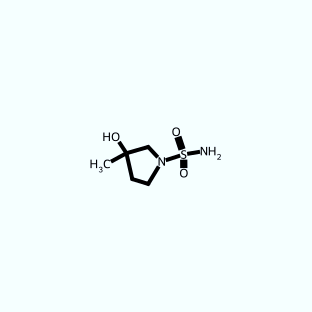 CC1(O)CCN(S(N)(=O)=O)C1